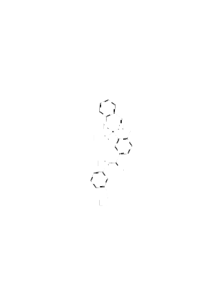 CCOc1cccc(NC(=O)c2ccc(C)c(C3(N)N=Cc4ccccc4N3)c2)c1